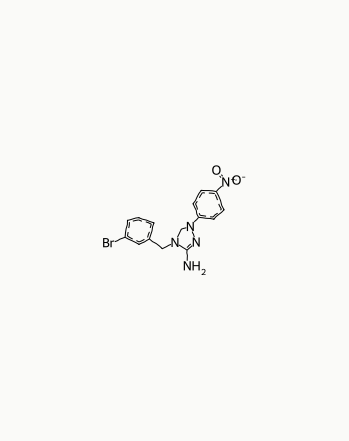 NC1=NN(c2ccc([N+](=O)[O-])cc2)CN1Cc1cccc(Br)c1